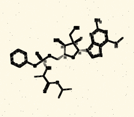 CNc1nc(N)nc2c1ncn2[C@@H]1O[C@H](CO[P@@](=O)(NC(C)C(=O)OC(C)C)Oc2ccccc2)[C@@H](O)[C@]1(F)CO